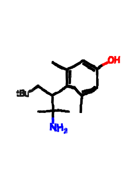 Cc1cc(O)cc(C)c1C(CC(C)(C)C)C(C)(C)N